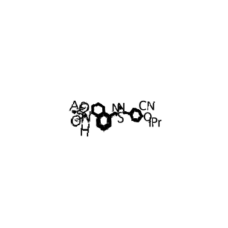 CC(=O)CS(=O)(=O)N[C@@H]1CCCc2c(-c3nnc(-c4ccc(OC(C)C)c(C#N)c4)s3)cccc21